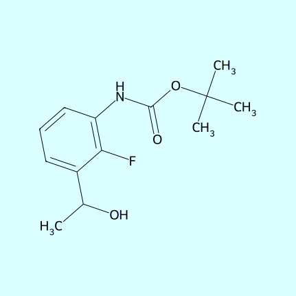 CC(O)c1cccc(NC(=O)OC(C)(C)C)c1F